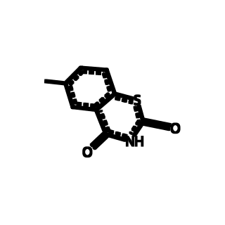 Cc1ccc2sc(=O)[nH]c(=O)c2c1